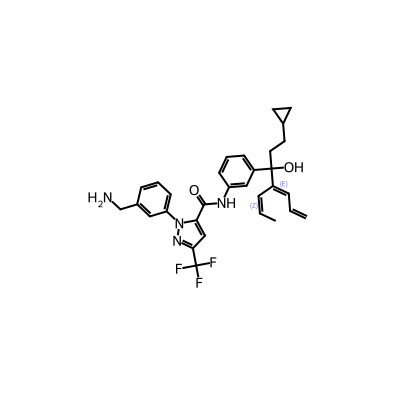 C=C/C=C(\C=C/C)C(O)(CCC1CC1)c1cccc(NC(=O)c2cc(C(F)(F)F)nn2-c2cccc(CN)c2)c1